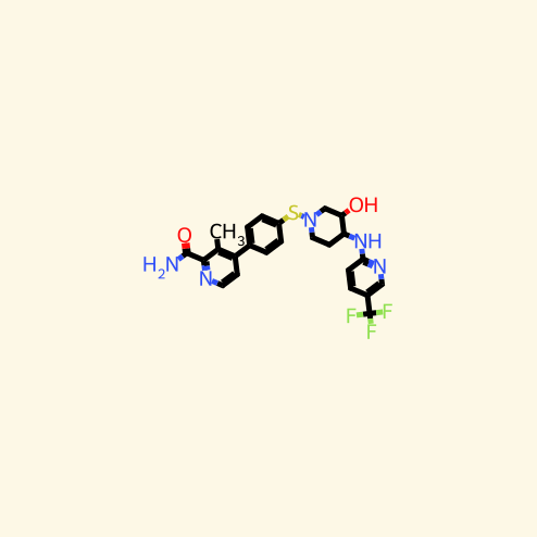 Cc1c(-c2ccc(SN3CCC(Nc4ccc(C(F)(F)F)cn4)C(O)C3)cc2)ccnc1C(N)=O